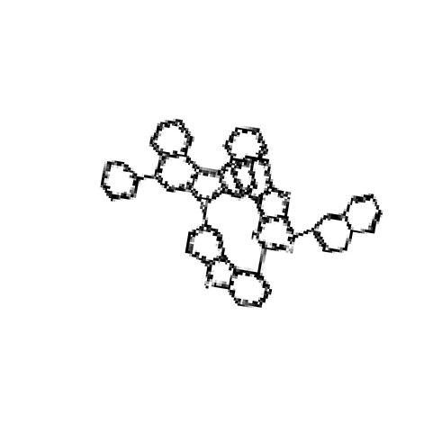 C1=CC2=CC(c3nc(-c4cccc5oc6ccc(-n7c8ccc9ccccc9c8c8c9ccccc9c(-c9ccccc9)cc87)cc6c45)nc4c3sc3ccccc34)=CCC2C=C1